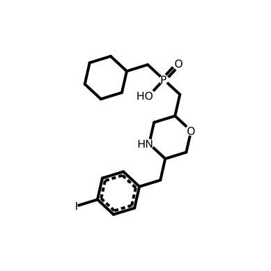 O=P(O)(CC1CCCCC1)CC1CNC(Cc2ccc(I)cc2)CO1